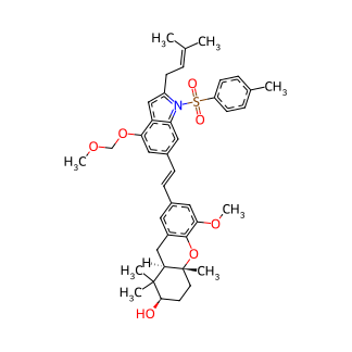 COCOc1cc(/C=C/c2cc3c(c(OC)c2)O[C@]2(C)CC[C@@H](O)C(C)(C)[C@H]2C3)cc2c1cc(CC=C(C)C)n2S(=O)(=O)c1ccc(C)cc1